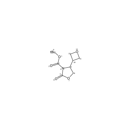 CC(C)(C)OC(=O)N1C(=O)OCC1C1COC1